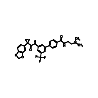 CN(C)CCNC(=O)c1ccc(-c2cc(NC(=O)C3(c4ccc5c(c4)OCO5)CC3)cc(C(F)(F)F)c2)cc1